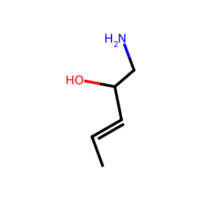 CC=CC(O)CN